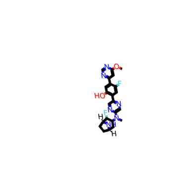 COc1cc(-c2cc(O)c(-c3cnc(N(C)C4C[C@H]5CC[C@H](N5)C4F)cn3)cc2F)ncn1